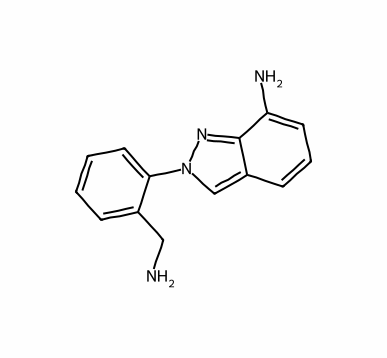 NCc1ccccc1-n1cc2cccc(N)c2n1